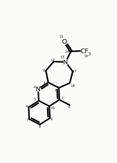 Cc1c2c(nc3ccccc13)CCN(C(=O)C(F)(F)F)CC2